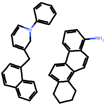 C1=CN(c2ccccc2)CC(Cc2cccc3ccccc23)=C1.Nc1cccc2c1ccc1c3c(ccc12)CCCC3